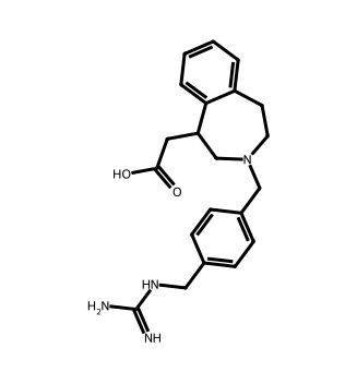 N=C(N)NCc1ccc(CN2CCc3ccccc3C(CC(=O)O)C2)cc1